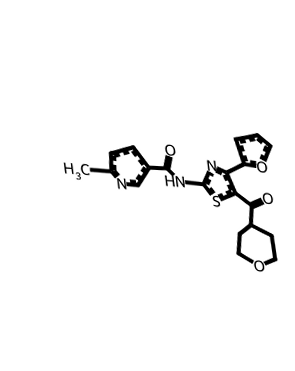 Cc1ccc(C(=O)Nc2nc(-c3ccco3)c(C(=O)C3CCOCC3)s2)cn1